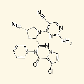 N#Cc1cnc(N)nc1N1C[C@@H](C#N)C[C@H]1c1nn2ccc(Cl)c2c(=O)n1-c1ccccc1